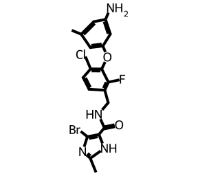 Cc1cc(N)cc(Oc2c(Cl)ccc(CNC(=O)c3[nH]c(C)nc3Br)c2F)c1